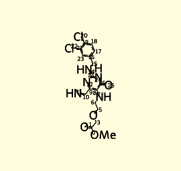 COC(=O)COCCNc1c(C=N)nc(NCc2ccc(Cl)c(Cl)c2)[nH]c1=O